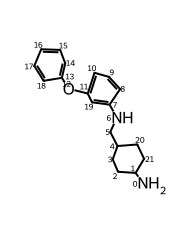 NC1CCC(CNc2cccc(Oc3ccccc3)c2)CC1